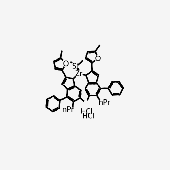 CCCc1c(C)cc2c(c1-c1ccccc1)C=C(c1ccc(C)o1)[CH]2[Zr]([CH]1C(c2ccc(C)o2)=Cc2c1cc(C)c(CCC)c2-c1ccccc1)=[Si](C)C.Cl.Cl